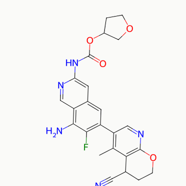 Cc1c(-c2cc3cc(NC(=O)OC4CCOC4)ncc3c(N)c2F)cnc2c1C(C#N)CCO2